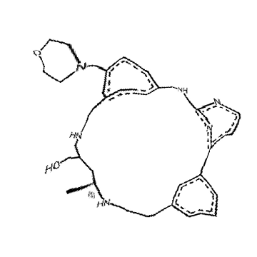 C[C@@H]1NCCc2cccc(c2)-c2ccnc(n2)Nc2ccc(N3CCOCC3)c(c2)CNC1O